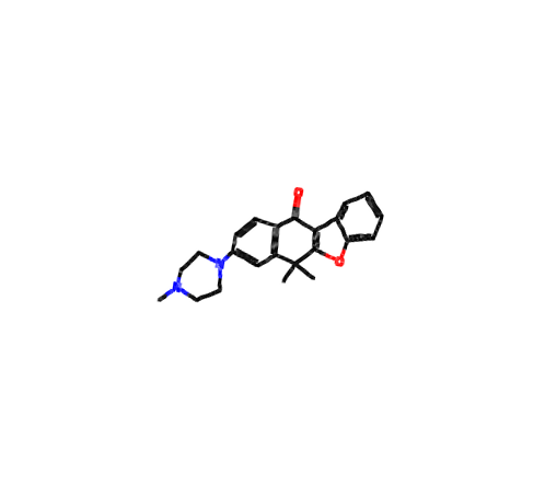 CN1CCN(c2ccc3c(c2)C(C)(C)c2oc4ccccc4c2C3=O)CC1